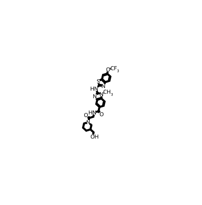 Cn1c(Nc2nc3ccc(OC(F)(F)F)cc3s2)nc2cc(C(=O)NCC(=O)N3CCCC(CO)C3)ccc21